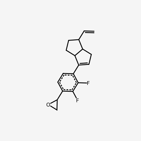 C=CC1CCC2C(c3ccc(C4CO4)c(F)c3F)=CCC12